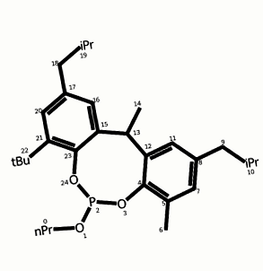 CCCOP1Oc2c(C)cc(CC(C)C)cc2C(C)c2cc(CC(C)C)cc(C(C)(C)C)c2O1